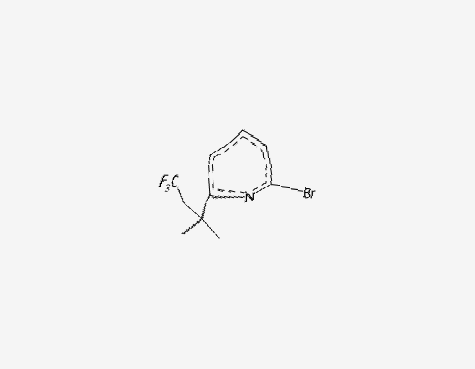 CC(C)(c1cccc(Br)n1)C(F)(F)F